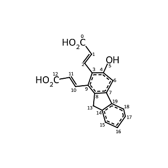 O=C(O)C=Cc1c(O)cc2c(c1C=CC(=O)O)Cc1ccccc1-2